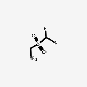 [CH2]CCCCS(=O)(=O)C(F)F